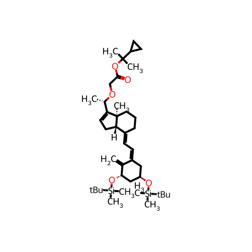 C=C1C(=CC=C2CCC[C@]3(C)C([C@H](C)OCC(=O)OC(C)(C)C4CC4)=CC[C@@H]23)C[C@@H](O[Si](C)(C)C(C)(C)C)C[C@@H]1O[Si](C)(C)C(C)(C)C